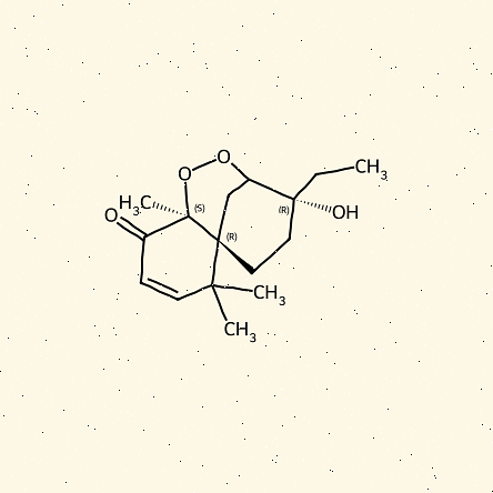 CC[C@@]1(O)CC[C@]23CC1OO[C@]2(C)C(=O)C=CC3(C)C